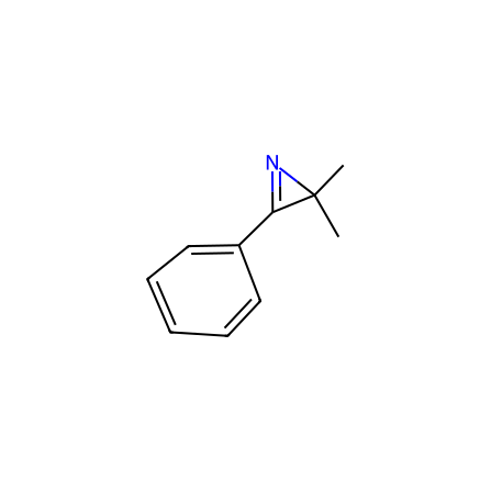 CC1(C)N=C1c1ccccc1